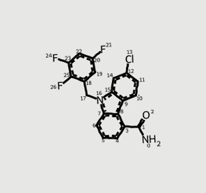 NC(=O)c1cccc2c1c1[c]cc(Cl)cc1n2Cc1cc(F)cc(F)c1F